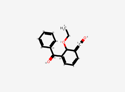 CCOC1C(=C=O)C=CC=C1C(=O)c1ccccc1